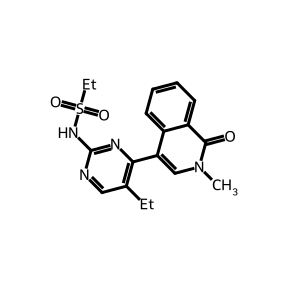 CCc1cnc(NS(=O)(=O)CC)nc1-c1cn(C)c(=O)c2ccccc12